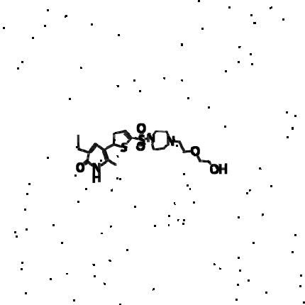 CCc1cc(C2CC=C(S(=O)(=O)N3CCN(CCOCCO)CC3)S2)c(C)[nH]c1=O